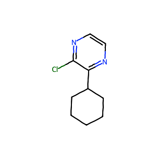 Clc1nccnc1C1CCCCC1